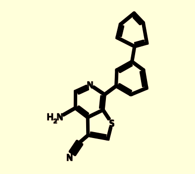 N#Cc1csc2c(-c3cccc(-c4ccccc4)c3)ncc(N)c12